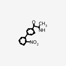 CC(=N)C(=O)c1ccc(-c2ccccc2[N+](=O)[O-])cc1